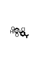 CC(C)c1ccc(N2CCC(=O)NC2=O)c(Cl)c1